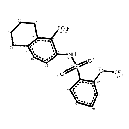 O=C(O)c1c(NS(=O)(=O)c2ccccc2OC(F)(F)F)ccc2c1CCCC2